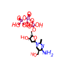 C=C1N=C(N)C(CO)=CN1[C@H]1C[C@@H](O)[C@@H](COP(=O)(O)OP(=O)(O)OP(=O)(O)O)O1